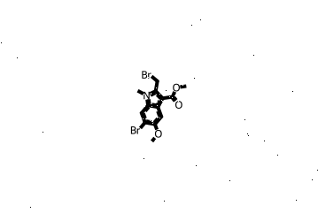 COC(=O)c1c(CBr)n(C)c2cc(Br)c(OC)cc12